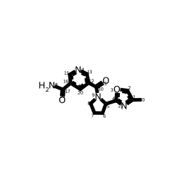 Cc1coc(C2CCCN2C(=O)c2cncc(C(N)=O)c2)n1